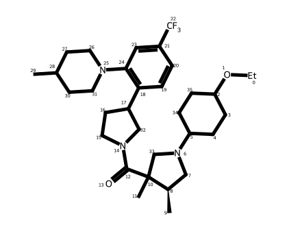 CCOC1CCC(N2C[C@@H](C)C(C)(C(=O)N3CCC(c4ccc(C(F)(F)F)cc4N4CCC(C)CC4)C3)C2)CC1